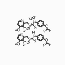 COc1ccnc(C[S+]([O-])C2[N-]c3cc(OC(F)F)ccc3N2)c1OC.COc1ccnc(C[S+]([O-])C2[N-]c3cc(OC(F)F)ccc3N2)c1OC.[Zn+2]